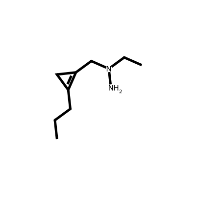 CCCC1=C(CN(N)CC)C1